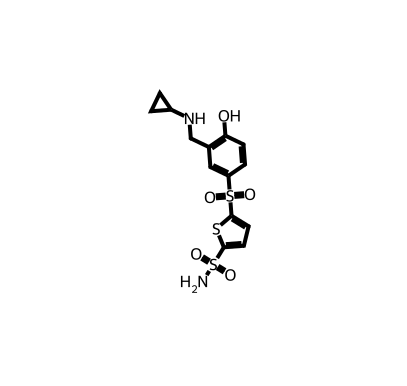 NS(=O)(=O)c1ccc(S(=O)(=O)c2ccc(O)c(CNC3CC3)c2)s1